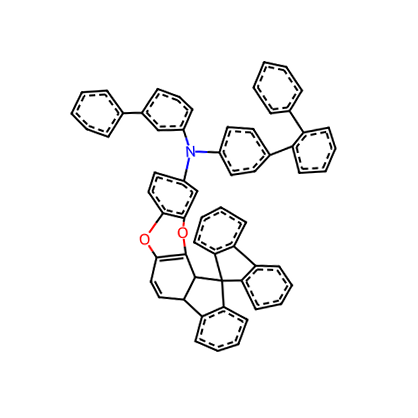 C1=CC2c3ccccc3C3(c4ccccc4-c4ccccc43)C2C2=C1Oc1ccc(N(c3ccc(-c4ccccc4-c4ccccc4)cc3)c3cccc(-c4ccccc4)c3)cc1O2